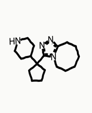 C1CCCn2c(nnc2C2(C3CCNCC3)CCCC2)CC1